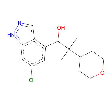 CC(C)(C1CCOCC1)C(O)c1cc(Cl)cc2[nH]ncc12